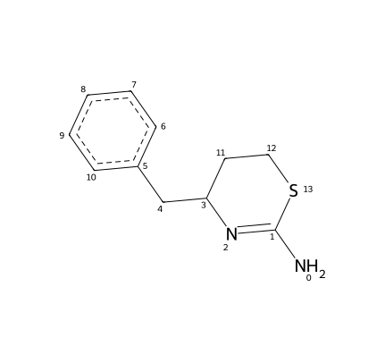 NC1=NC(Cc2ccccc2)CCS1